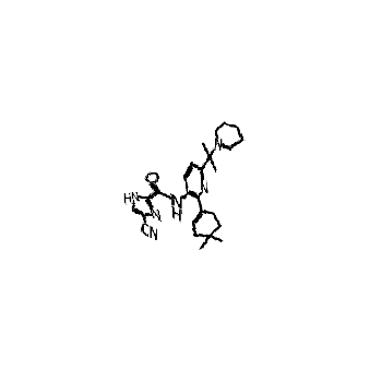 CC1(C)CC=C(c2nc(C(C)(C)N3CCCCC3)ccc2NC(=O)c2nc(C#N)c[nH]2)CC1